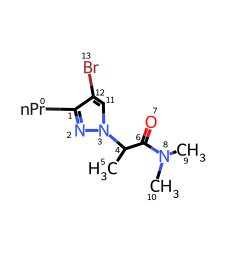 CCCc1nn(C(C)C(=O)N(C)C)cc1Br